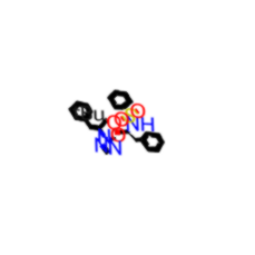 CC(C)(C)C(OC(=O)[C@H](Cc1ccccc1)NS(=O)(=O)c1ccccc1)/C(=C\c1ccccc1)n1cncn1